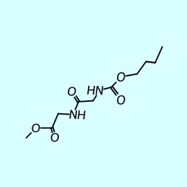 CCCCOC(=O)NCC(=O)NCC(=O)OC